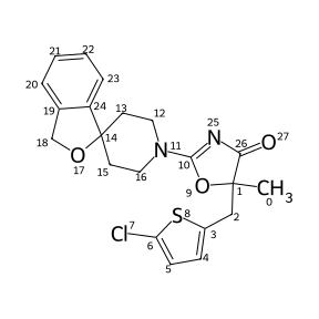 CC1(Cc2ccc(Cl)s2)OC(N2CCC3(CC2)OCc2ccccc23)=NC1=O